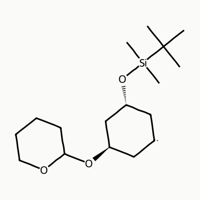 CC(C)(C)[Si](C)(C)O[C@@H]1C[CH]C[C@@H](OC2CCCCO2)C1